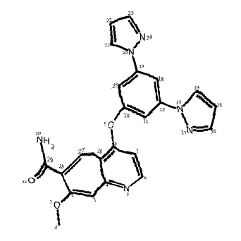 COc1cc2nccc(Oc3cc(-n4cccn4)cc(-n4cccn4)c3)c2cc1C(N)=O